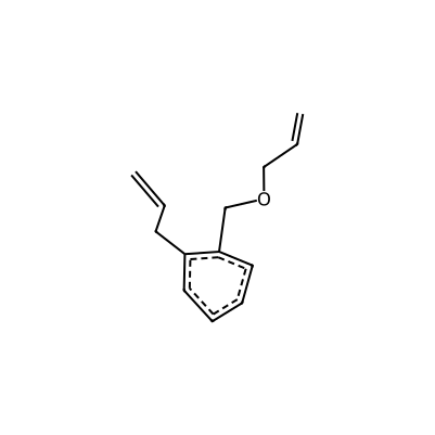 C=CCOCc1ccccc1CC=C